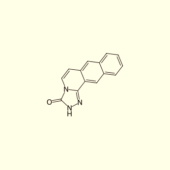 O=c1[nH]nc2c3cc4ccccc4cc3ccn12